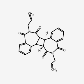 C=CCN1C(=O)c2ccccc2C2C(C1=O)[C@H]1c3ccccc3C(=O)N(CC=C)C(=O)[C@H]21